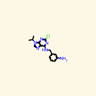 CC(C)n1cnc2c(NCc3cccc(N)c3)nc(Cl)nc21